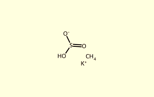 C.O=S([O-])O.[K+]